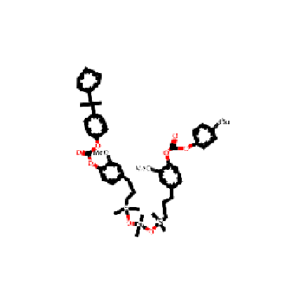 COc1cc(CCC[Si](C)(C)O[Si](C)(C)O[Si](C)(C)CCCc2ccc(OC(=O)Oc3ccc(C(C)(C)c4ccccc4)cc3)c(OC)c2)ccc1OC(=O)Oc1ccc(C(C)(C)C)cc1